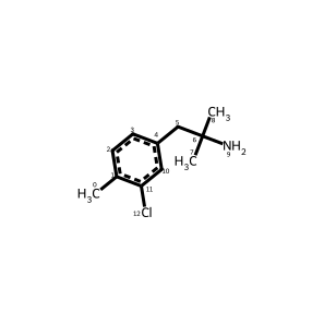 Cc1ccc(CC(C)(C)N)cc1Cl